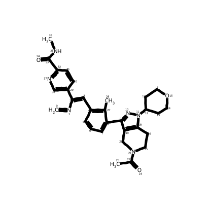 C=N/C(=C\c1cccc(-c2nn(C3CCOCC3)c3c2CN(C(C)=O)CC3)c1C)c1ccc(C(=O)NC)nc1